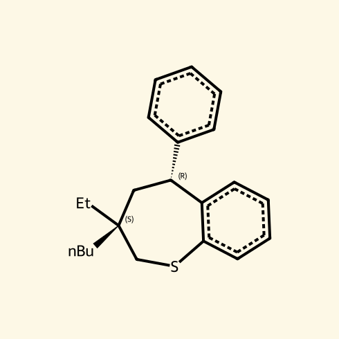 CCCC[C@]1(CC)CSc2ccccc2[C@@H](c2ccccc2)C1